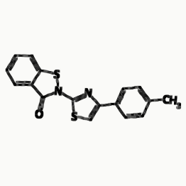 Cc1ccc(-c2csc(-n3sc4ccccc4c3=O)n2)cc1